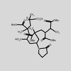 CCOC(=O)C(C)(C)CC(C)(CC(CC(CC(C)(CC(C(=O)OCC(C)C)C(C)C(=O)OCC(C)C)C(=O)OCC(C)C)N1CCCC1=O)C(=O)O)C(=O)OC